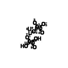 [Li+].[Li+].[O]=[Mn](=[O])([O-])[O-].[O]=[Mn](=[O])([OH])[OH]